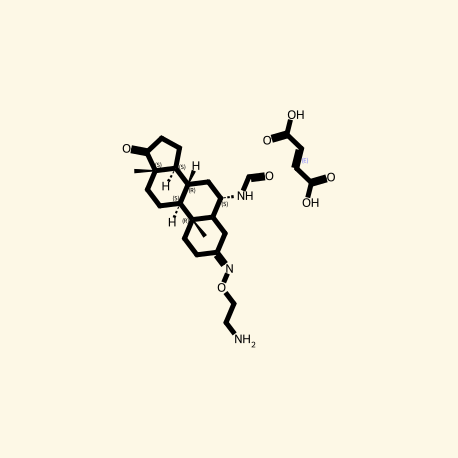 C[C@]12CCC(=NOCCN)CC1[C@@H](NC=O)C[C@@H]1[C@@H]2CC[C@]2(C)C(=O)CC[C@@H]12.O=C(O)/C=C/C(=O)O